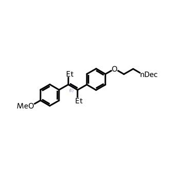 CCCCCCCCCCCCOc1ccc(/C(CC)=C(\CC)c2ccc(OC)cc2)cc1